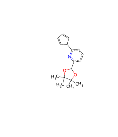 CC1(C)OC(c2cccc(C3C=CC=C3)n2)OC1(C)C